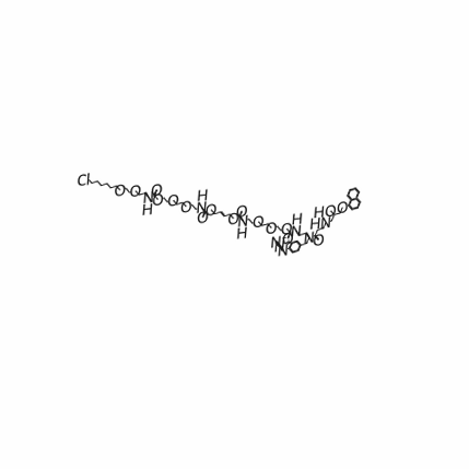 [N-]=[N+]=Nc1ccc(CN(CCNC(=O)OCCOCCOCCNC(=O)OC/C=C/COC(=O)NCCOCCOCCOC(=O)NCCOCCOCCCCCCCl)C(=O)CCNCC(O)COc2cccc3ccccc23)cc1